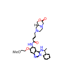 COCCOc1cc2ncnc(NC(C)c3ccccc3)c2cc1NC(=O)C=CCN1CCN2CC(=O)OC[C@H]2C1